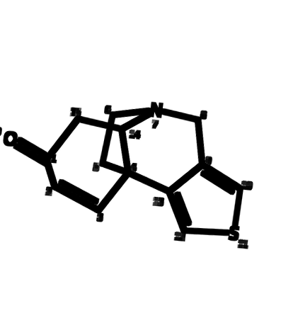 O=C1C=CC23CCN(Cc4cscc42)C3C1